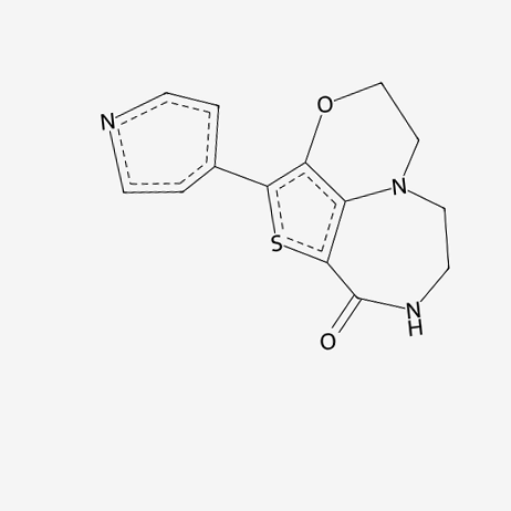 O=C1NCCN2CCOc3c(-c4ccncc4)sc1c32